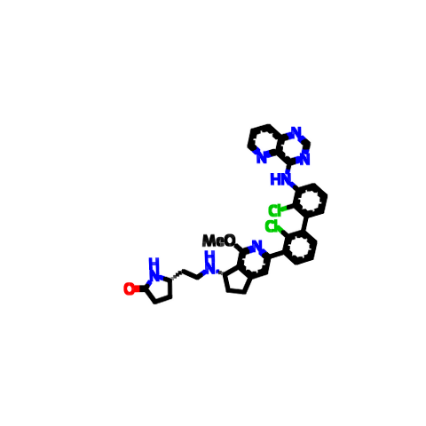 COc1nc(-c2cccc(-c3cccc(Nc4ncnc5cccnc45)c3Cl)c2Cl)cc2c1[C@@H](NCC[C@@H]1CCC(=O)N1)CC2